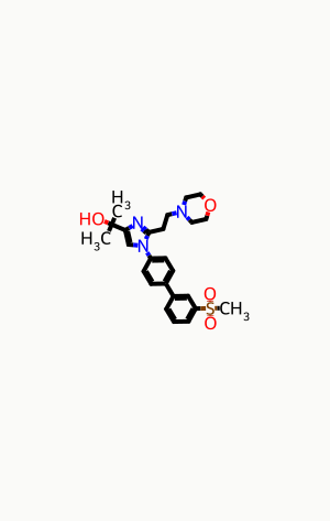 CC(C)(O)c1cn(-c2ccc(-c3cccc(S(C)(=O)=O)c3)cc2)c(CCN2CCOCC2)n1